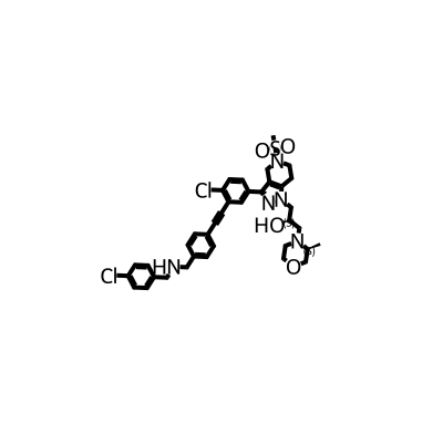 C[C@H]1COCCN1C[C@H](O)Cn1nc(-c2ccc(Cl)c(C#Cc3ccc(CNCc4ccc(Cl)cc4)cc3)c2)c2c1CCN(S(C)(=O)=O)C2